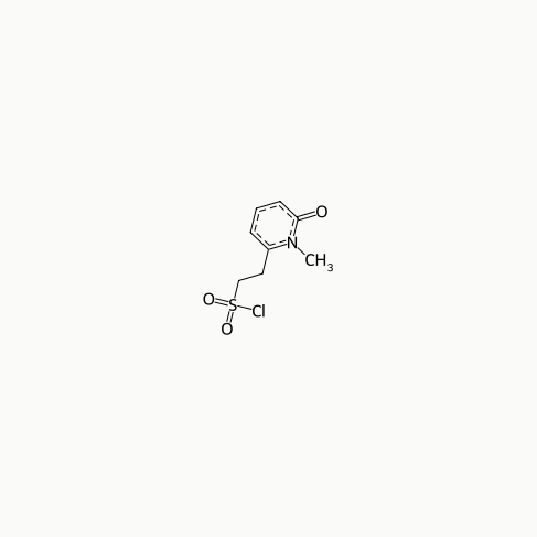 Cn1c(CCS(=O)(=O)Cl)cccc1=O